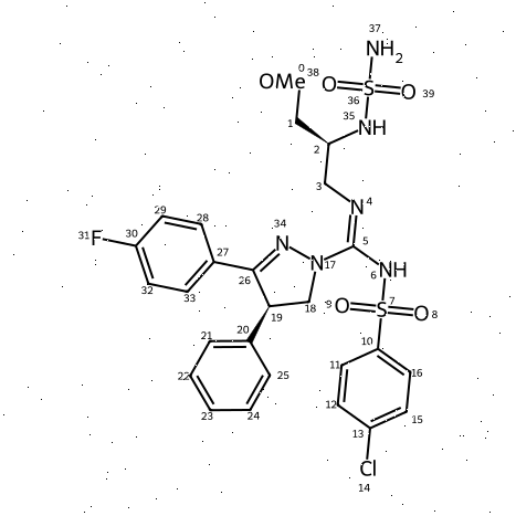 COC[C@H](C/N=C(/NS(=O)(=O)c1ccc(Cl)cc1)N1C[C@@H](c2ccccc2)C(c2ccc(F)cc2)=N1)NS(N)(=O)=O